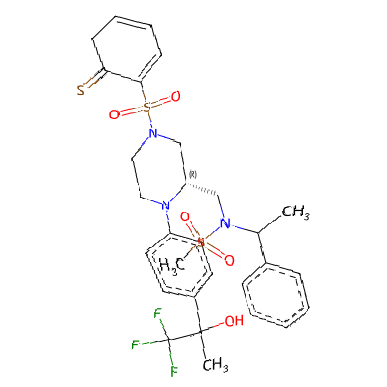 CC(c1ccccc1)N(C[C@H]1CN(S(=O)(=O)C2=CC=CCC2=S)CCN1c1ccc(C(C)(O)C(F)(F)F)cc1)S(C)(=O)=O